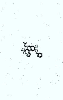 COC(=O)C1=C(c2cccs2)C2=CC(OCc3ccccc3)C(=O)CC2=CN1CC(C)C